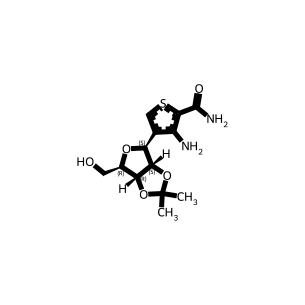 CC1(C)O[C@@H]2[C@H](O1)[C@@H](CO)O[C@H]2c1csc(C(N)=O)c1N